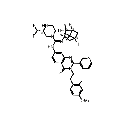 COc1ccc(CCn2c(-c3cccnc3)nc3cc(NC(=N[C@H]4C[C@H]5C[C@@H]([C@@H]4C)C5(C)C)N4CCN[C@@H](C(F)F)C4)ccc3c2=O)c(F)c1